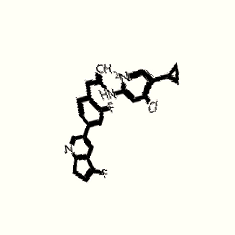 C=C(Cc1ccc(-c2cnc3c(c2)C(F)=CC3)cc1F)Nc1cc(Cl)c(C2CC2)cn1